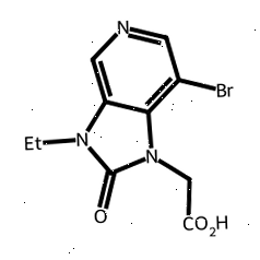 CCn1c(=O)n(CC(=O)O)c2c(Br)cncc21